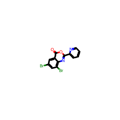 O=c1oc(-c2ccccn2)nc2c(Br)cc(Br)cc12